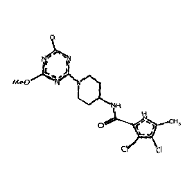 COc1nc(Cl)nc(N2CCC(NC(=O)c3[nH]c(C)c(Cl)c3Cl)CC2)n1